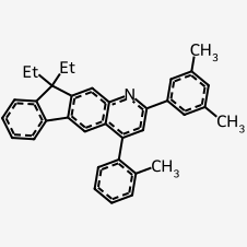 CCC1(CC)c2ccccc2-c2cc3c(-c4ccccc4C)cc(-c4cc(C)cc(C)c4)nc3cc21